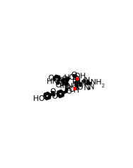 Nc1ncnc2c1ncn2[C@@H]1O[C@@H]2COP(=O)(SCc3ccc(OC(=O)c4ccc(O)cc4)cc3)O[C@H]3[C@@H](F)[C@H](n4ccc(=O)[nH]c4=O)O[C@@H]3COP(=O)(O)O[C@@H]1[C@@H]2F